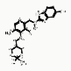 Cc1cnc(C[S+]([O-])c2nc3cc(F)ccc3[nH]2)c(C)c1OCC1COC(C)(C)OC1